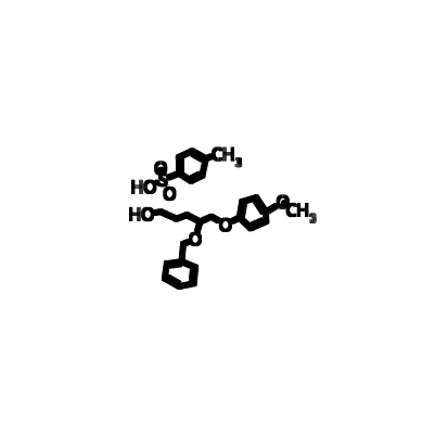 COc1ccc(OCC(CCCO)OCc2ccccc2)cc1.Cc1ccc(S(=O)(=O)O)cc1